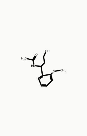 COc1ccccc1C(CCO)NC(C)=O